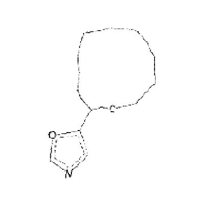 c1ncc(C2CCCCCCCCC2)o1